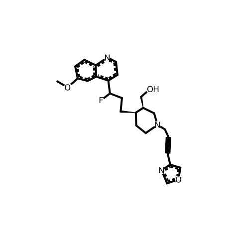 COc1ccc2nccc(C(F)CC[C@@H]3CCN(CC#Cc4cocn4)C[C@@H]3CO)c2c1